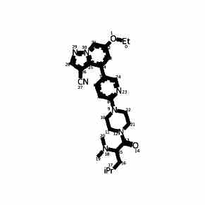 CCOc1cc(-c2ccc(N3CCN(C(=O)C(CC(C)C)N(C)C)CC3)nc2)c2c(C#N)cnn2c1